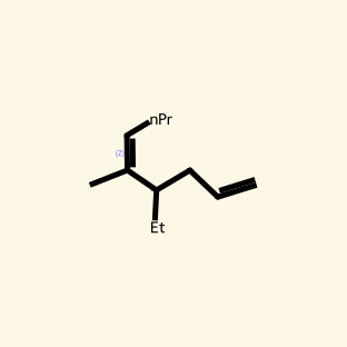 C=CC[C](CC)/C(C)=C\CCC